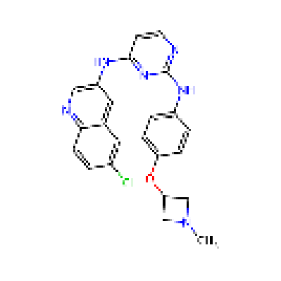 CN1CC(Oc2ccc(Nc3nccc(Nc4cnc5ccc(Cl)cc5c4)n3)cc2)C1